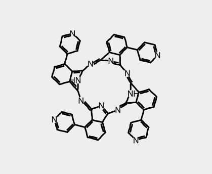 c1cc(-c2ccncc2)c2c(c1)-c1nc-2nc2[nH]c(nc3nc(nc4[nH]c(n1)c1c(-c5ccncc5)cccc41)-c1c(-c4ccncc4)cccc1-3)c1c(-c3ccncc3)cccc21